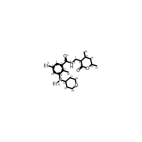 CCc1cc(C(=O)NCC2C(=O)OC(C)CC2C)c(C)c(N(CC)C2CCOCC2)c1